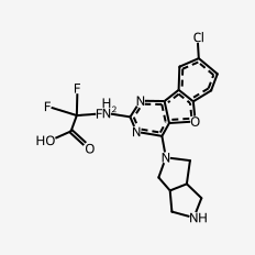 Nc1nc(N2CC3CNCC3C2)c2oc3ccc(Cl)cc3c2n1.O=C(O)C(F)(F)F